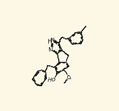 COc1cc2c(c(Cc3ccccc3)c1O)-c1n[nH]c(Cc3cccc(C)c3)c1C2